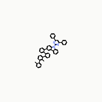 Cc1ccccc1-c1cccc(-c2ccccc2-c2ccccc2-c2ccc3c(c2)c2ccccc2n3-c2nc(-c3ccccc3)cc(-c3ccccc3)n2)c1C